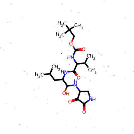 CC(C)CC(NC(=O)C(NC(=O)OCC(C)(C)C)C(C)C)C(O)NC1CNC(=O)C1=O